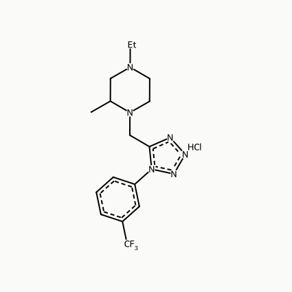 CCN1CCN(Cc2nnnn2-c2cccc(C(F)(F)F)c2)C(C)C1.Cl